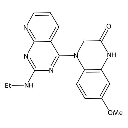 CCNc1nc(N2CC(=O)Nc3cc(OC)ccc32)c2cccnc2n1